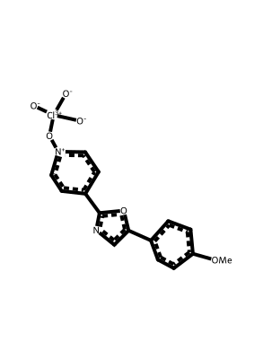 COc1ccc(-c2cnc(-c3cc[n+](O[Cl+3]([O-])([O-])[O-])cc3)o2)cc1